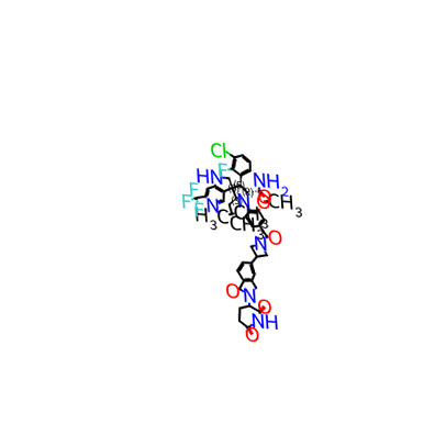 COc1cc(C(=O)N2CC(c3ccc4c(c3)CN(C3CCC(=O)NC3=O)C4=O)C2)ccc1N1[C@@H](CC(C)(C)C)[C@@]2(CNc3cc(C(F)(F)F)ncc32)[C@@H](c2cccc(Cl)c2F)[C@@H]1C(N)=O